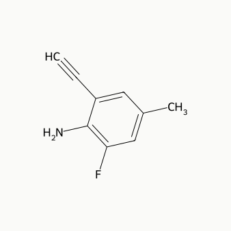 C#Cc1cc(C)cc(F)c1N